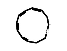 [CH]1CC=CC=CC=CC=CCCC1